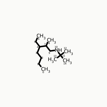 CCCCC(CC)C(C)CNC(C)(C)C